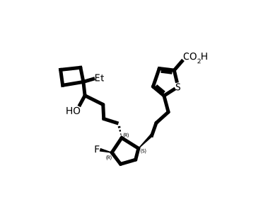 CCC1(C(O)CCC[C@@H]2[C@@H](CCCc3ccc(C(=O)O)s3)CC[C@H]2F)CCC1